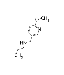 CCCNCc1ccc(OC)nc1